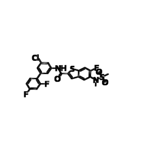 CN(c1cc2cc(C(=O)Nc3cc(Cl)cc(-c4ccc(F)cc4F)c3)sc2cc1F)S(C)(=O)=O